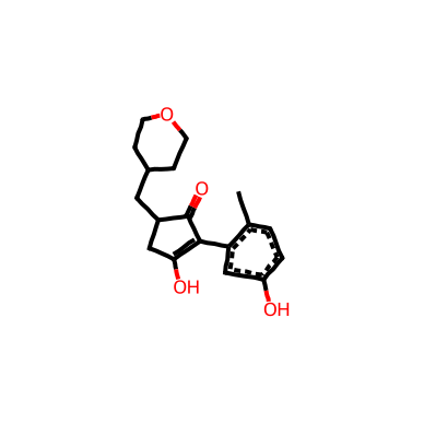 Cc1ccc(O)cc1C1=C(O)CC(CC2CCOCC2)C1=O